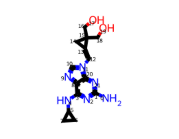 Nc1nc(NC2CC2)c2ncn(/C=C3\CC3(CO)CO)c2n1